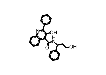 O=C(NC(CCO)c1ccccc1)c1c(O)c(-c2ccccc2)nc2ccccc12